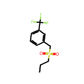 CCCS(=O)(=O)Cc1cccc(C(F)(F)F)c1